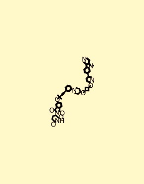 Cn1c2ccncc2c2ccc(-c3ccc(OC4CC(OC5CCN(c6cccc(C#CC(C)(C)Oc7ccc8c(c7)C(=O)N(C7CCC(=O)NC7=O)C8=O)c6)CC5)C4)nc3)cc21